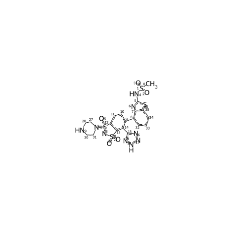 CS(=O)(=O)Nc1nc2c(-c3ccc4c(c3-c3nn[nH]n3)S(=O)(=O)N=S4(=O)N3CCNCC3)cccc2s1